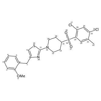 COc1ccccc1Cc1csc(N2CCC(S(=O)(=O)c3cc(C)c(Cl)cc3Cl)CC2)n1